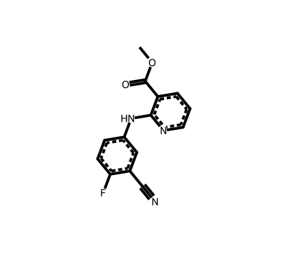 COC(=O)c1cccnc1Nc1ccc(F)c(C#N)c1